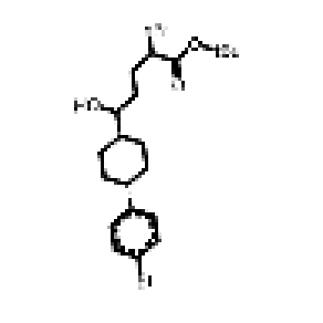 CCCC(CCC(O)[C@H]1CC[C@H](c2ccc(CC)cc2)CC1)C(=O)OC(C)(C)C